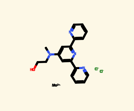 CN(CCO)c1cc(-c2ccccn2)nc(-c2ccccn2)c1.[Cl-].[Cl-].[Mn+2]